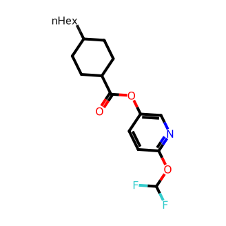 CCCCCCC1CCC(C(=O)Oc2ccc(OC(F)F)nc2)CC1